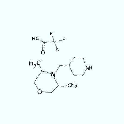 CC1COCC(C)N1CC1CCNCC1.O=C(O)C(F)(F)F